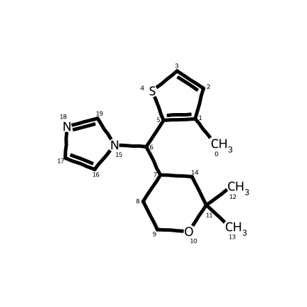 Cc1ccsc1C(C1CCOC(C)(C)C1)n1ccnc1